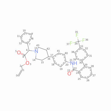 C=CCOC(=O)C(c1ccccc1)N1CCC(c2ccc(NC(=O)c3ccccc3-c3ccc(C(F)(F)F)cc3)cc2)CC1